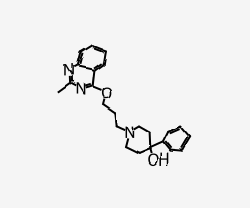 Cc1nc(OCCCN2CCC(O)(c3ccccc3)CC2)c2ccccc2n1